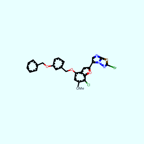 COc1cc(OCc2cccc(OCc3ccccc3)c2)c2cc(-c3cnc4sc(Br)nn34)oc2c1Cl